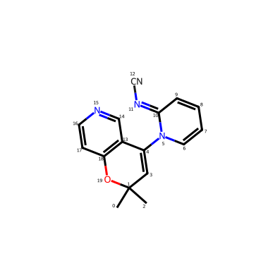 CC1(C)C=C(n2ccccc2=NC#N)c2cnccc2O1